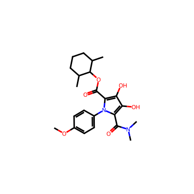 COc1ccc(-n2c(C(=O)OC3C(C)CCCC3C)c(O)c(O)c2C(=O)N(C)C)cc1